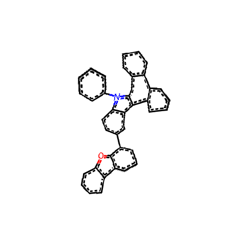 c1ccc(-n2c3ccc(-c4cccc5c4oc4ccccc45)cc3c3c4ccccc4c4ccccc4c32)cc1